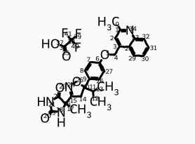 Cc1cc(COc2ccc(C3(C(C)C)CC(C4(C)NC(=O)NC4=O)=NO3)cc2)c2ccccc2n1.O=C(O)C(F)(F)F